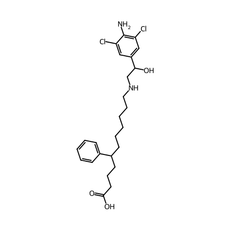 Nc1c(Cl)cc(C(O)CNCCCCCCC(CCCC(=O)O)c2ccccc2)cc1Cl